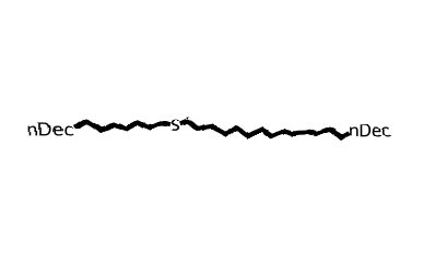 CCCCCCCCCCCCCCCCCCCCCCC[CH]SCCCCCCCCCCCCCCCCC